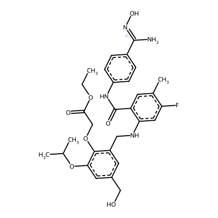 CCOC(=O)COc1c(CNc2cc(F)c(C)cc2C(=O)Nc2ccc(/C(N)=N/O)cc2)cc(CO)cc1OC(C)C